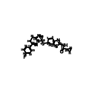 O=C(Nc1nc2ccc(Sc3nnc4n3N=C(c3ccc(F)cc3)CC4)cc2s1)C1CC1